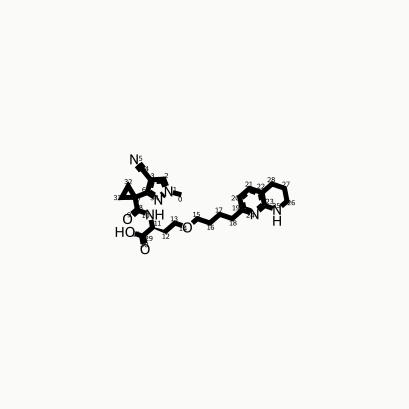 Cn1cc(C#N)c(C2(C(=O)N[C@@H](CCOCCCCc3ccc4c(n3)NCCC4)C(=O)O)CC2)n1